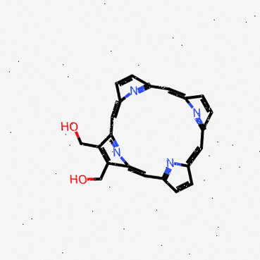 OCC1=C(CO)C2=NC1=CC1=NC(=CC3=NC(=CC4=NC(=C2)C=C4)C=C3)C=C1